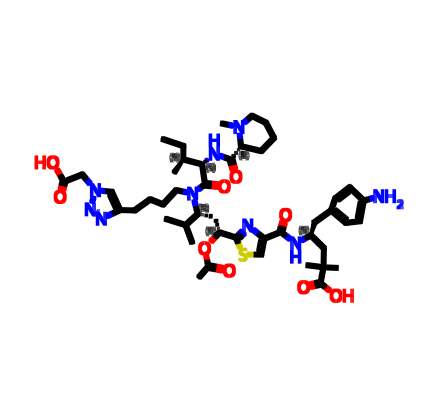 CC[C@H](C)[C@H](NC(=O)[C@H]1CCCCN1C)C(=O)N(CCCCc1cn(CC(=O)O)nn1)[C@H](C[C@@H](OC(C)=O)c1nc(C(=O)N[C@@H](Cc2ccc(N)cc2)CC(C)(C)C(=O)O)cs1)C(C)C